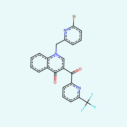 O=C(c1cccc(C(F)(F)F)n1)c1cn(Cc2cccc(Br)n2)c2ccccc2c1=O